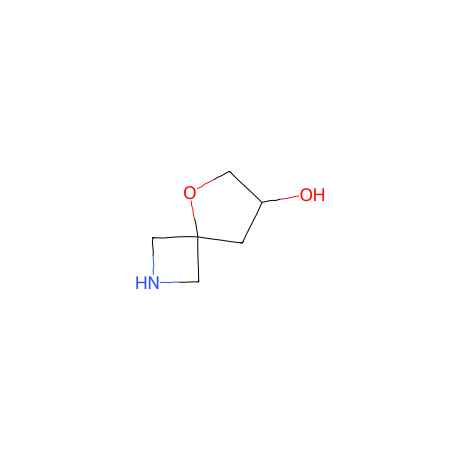 OC1COC2(CNC2)C1